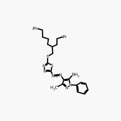 Cc1nn(-c2ccccc2)c(N)c1/N=N/c1nnc(SCC(CCCCC(C)C)CCC(C)C)s1